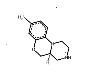 Nc1ccc2c(c1)OC[C@@H]1CNCCN21